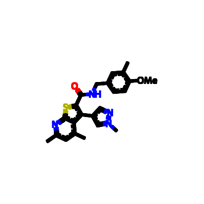 COc1ccc(CNC(=O)c2sc3nc(C)cc(C)c3c2-c2cnn(C)c2)cc1C